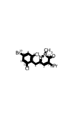 CC(C)c1cc(Cc2c(Cl)cc(Br)cc2Cl)nn(C)c1=O